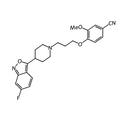 COc1cc(C#N)ccc1OCCCN1CCC(c2onc3cc(F)ccc23)CC1